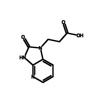 O=C(O)CCn1c(=O)[nH]c2ncccc21